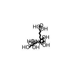 O=P(O)(O)CCCCCc1c(O)nc(O)nc1NC[C@H](O)[C@H](O)[C@H](O)CO